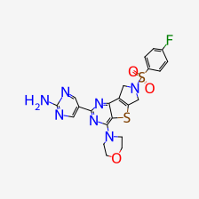 Nc1ncc(-c2nc(N3CCOCC3)c3sc4c(c3n2)CN(S(=O)(=O)c2ccc(F)cc2)C4)cn1